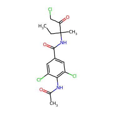 CCC(C)(NC(=O)c1cc(Cl)c(NC(C)=O)c(Cl)c1)C(=O)CCl